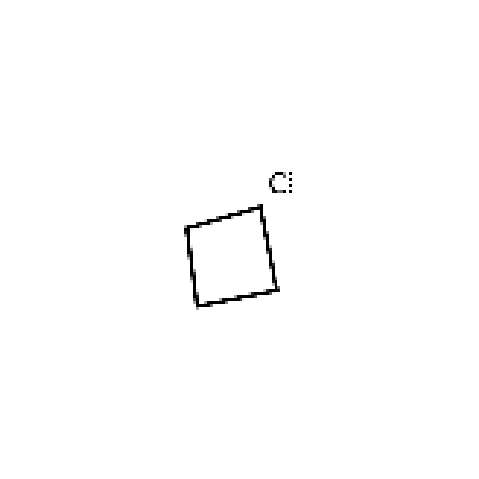 C1CCC1.[C]